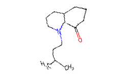 CC(C)CCN1CCCC2CCCC(=O)C21